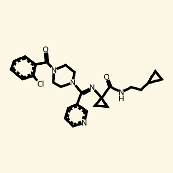 O=C(c1ccccc1Cl)N1CCN(/C(=N/C2(C(=O)NCCC3CC3)CC2)c2cccnc2)CC1